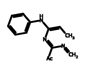 C=N/C(=N\C(=C/C)Nc1ccccc1)C(C)=O